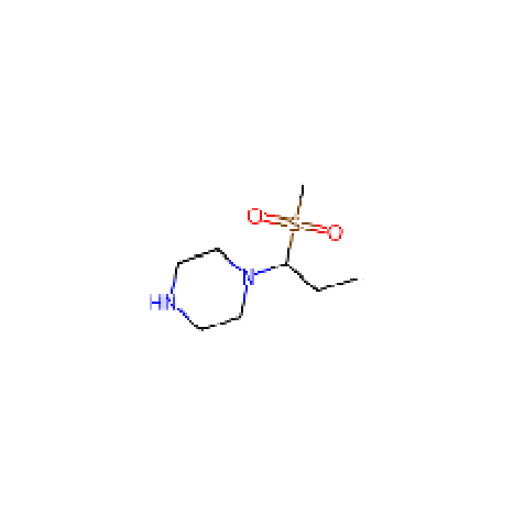 [CH2]CC(N1CCNCC1)S(C)(=O)=O